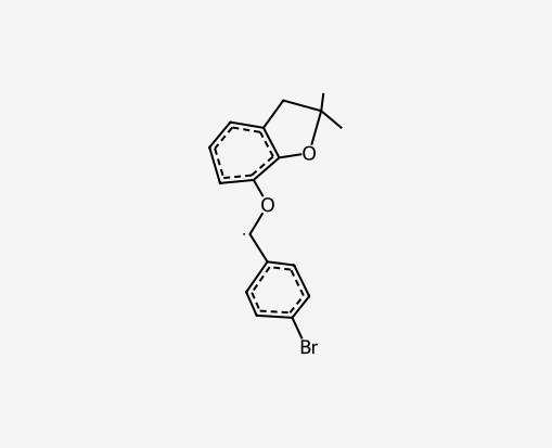 CC1(C)Cc2cccc(O[CH]c3ccc(Br)cc3)c2O1